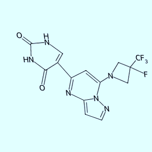 O=c1[nH]cc(-c2cc(N3CC(F)(C(F)(F)F)C3)n3nccc3n2)c(=O)[nH]1